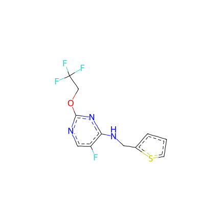 Fc1cnc(OCC(F)(F)F)nc1NCc1cccs1